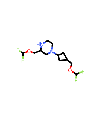 FC(F)OCC1CC(N2CCNC(COC(F)F)C2)C1